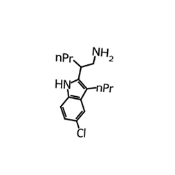 CCCc1c(C(CN)CCC)[nH]c2ccc(Cl)cc12